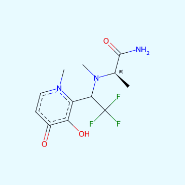 C[C@H](C(N)=O)N(C)C(c1c(O)c(=O)ccn1C)C(F)(F)F